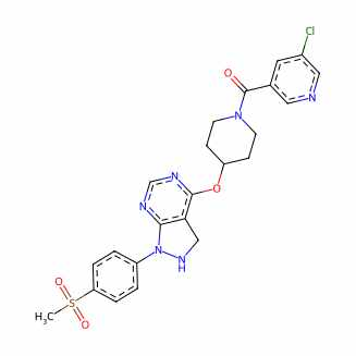 CS(=O)(=O)c1ccc(N2NCc3c(OC4CCN(C(=O)c5cncc(Cl)c5)CC4)ncnc32)cc1